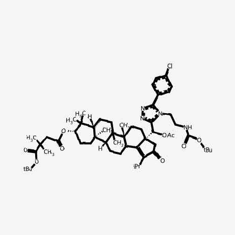 CC(=O)OC(c1nnc(-c2ccc(Cl)cc2)n1CCNC(=O)OC(C)(C)C)[C@@]12CC[C@]3(C)C(CC[C@H]4C3(C)CC[C@H]3C(C)(C)[C@@H](OC(=O)CC(C)(C)C(=O)OC(C)(C)C)CC[C@@]34C)C1=C(C(C)C)C(=O)C2